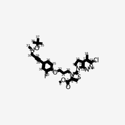 COC(=O)C1=CSC(N2CCc3c2nnc(Cl)c3C)N1CCCOc1ccc(C#CCN(C)OC(C)(C)C)cc1F